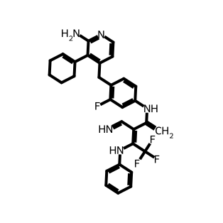 C=C(Nc1ccc(Cc2ccnc(N)c2C2=CCCCC2)c(F)c1)/C(C=N)=C(/Nc1ccccc1)C(F)(F)F